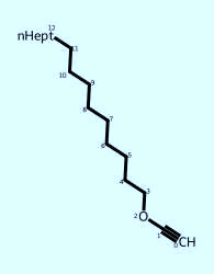 C#COCCCCCCCCCCCCCCCC